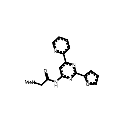 CNCC(=O)Nc1cc(-c2ccccn2)nc(-c2ccco2)n1